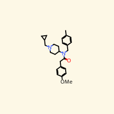 COc1ccc(CC(=O)N(Cc2ccc(C)cc2)C2CCN(CC3CC3)CC2)cc1